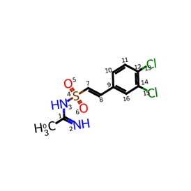 CC(=N)NS(=O)(=O)C=Cc1ccc(Cl)c(Cl)c1